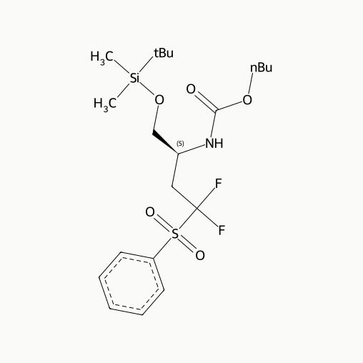 CCCCOC(=O)N[C@H](CO[Si](C)(C)C(C)(C)C)CC(F)(F)S(=O)(=O)c1ccccc1